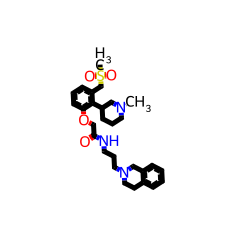 CN1CCCC(c2c(CS(C)(=O)=O)cccc2OCC(=O)NCCCN2CCc3ccccc3C2)C1